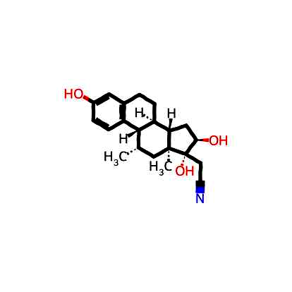 C[C@H]1C[C@@]2(C)[C@@H](C[C@@H](O)[C@@]2(O)CC#N)[C@@H]2CCc3cc(O)ccc3[C@H]21